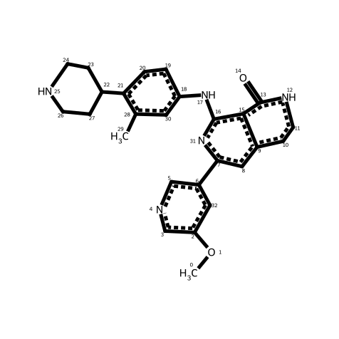 COc1cncc(-c2cc3cc[nH]c(=O)c3c(Nc3ccc(C4CCNCC4)c(C)c3)n2)c1